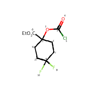 CCOC(=O)C1(OC(=O)Cl)CCC(F)(F)CC1